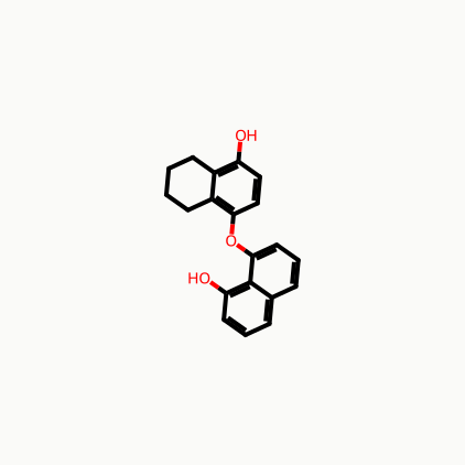 Oc1ccc(Oc2cccc3cccc(O)c23)c2c1CCCC2